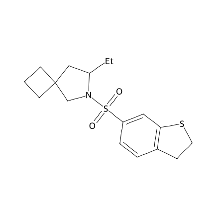 CCC1CC2(CCC2)CN1S(=O)(=O)c1ccc2c(c1)SCC2